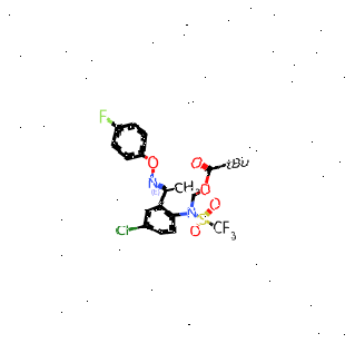 C/C(=N\Oc1ccc(F)cc1)c1cc(Cl)ccc1N(COC(=O)C(C)(C)C)S(=O)(=O)C(F)(F)F